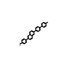 Cc1ccc(-c2ccc(-c3ccc4cc(-c5ccc(I)cc5)ccc4c3)cc2)cc1